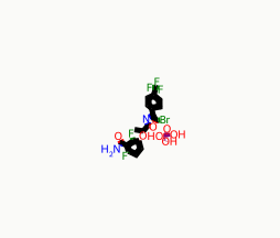 CC(Oc1ccc(F)c(C(N)=O)c1F)c1nc(-c2ccc(C(F)(F)F)cc2)c(Br)o1.O=P(O)(O)O